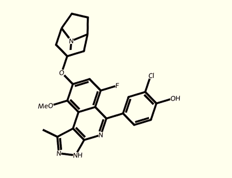 COc1c(OC2CC3CCC(C2)N3C)cc(F)c2c(-c3ccc(O)c(Cl)c3)nc3[nH]nc(C)c3c12